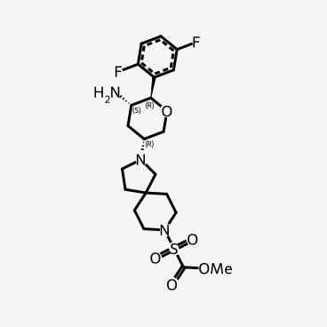 COC(=O)S(=O)(=O)N1CCC2(CCN([C@H]3CO[C@H](c4cc(F)ccc4F)[C@@H](N)C3)C2)CC1